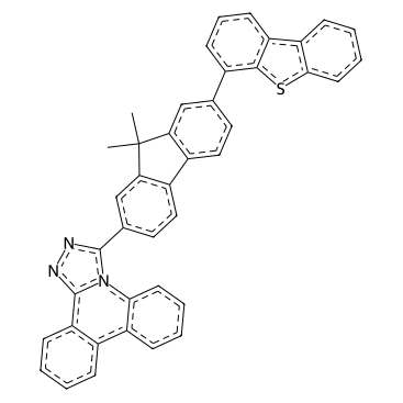 CC1(C)c2cc(-c3cccc4c3sc3ccccc34)ccc2-c2ccc(-c3nnc4c5ccccc5c5ccccc5n34)cc21